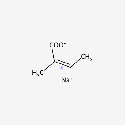 C/C=C(/C)C(=O)[O-].[Na+]